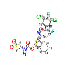 O=C(NC1CS(=O)(=O)C1)Oc1sc(C2=NOC(c3cc(Cl)c(F)c(Cl)c3)(C(F)(F)F)C2)c2c1CCCC2